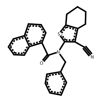 N#Cc1c(N(Cc2ccccc2)C(=O)c2cccc3ccccc23)sc2c1CCCC2